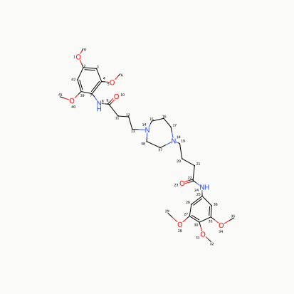 COc1cc(OC)c(NC(=O)CCCN2CCCN(CCCC(=O)Nc3cc(OC)c(OC)c(OC)c3)CC2)c(OC)c1